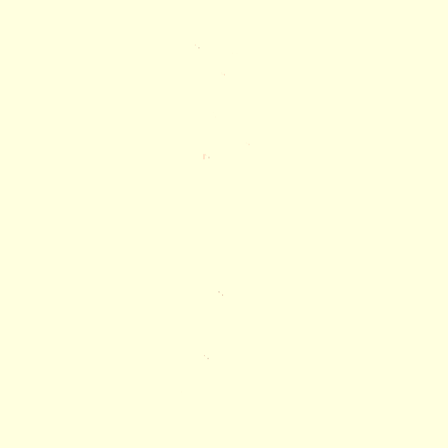 Cc1cc(C2CCN(C3CCN(CC(C)C)CC3)CC2)cc2[nH]c(-c3ccc4nccn4c3)nc12